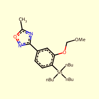 CCC[CH2][Sn]([CH2]CCC)([CH2]CCC)[c]1ccc(-c2noc(C)n2)cc1OCOC